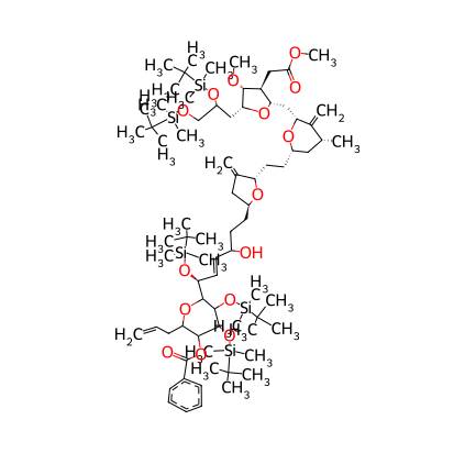 C=CCC1OC([C@H](C=CC(O)CC[C@H]2CC(=C)[C@H](CC[C@H]3C[C@@H](C)C(=C)[C@@H](C[C@@H]4O[C@H](CC(CO[Si](C)(C)C(C)(C)C)O[Si](C)(C)C(C)(C)C)[C@H](OC)[C@H]4CC(=O)OC)O3)O2)O[Si](C)(C)C(C)(C)C)C(O[Si](C)(C)C(C)(C)C)C(O[Si](C)(C)C(C)(C)C)C1OC(=O)c1ccccc1